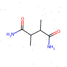 CC(C(N)=O)C(C)C(N)=O